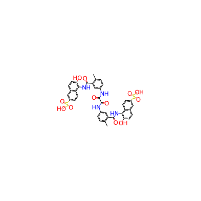 Cc1ccc(NC(=O)C(=O)Nc2ccc(C)c(C(=O)Nc3c(O)ccc4cc(S(=O)(=O)O)ccc34)c2)cc1C(=O)Nc1c(O)ccc2cc(S(=O)(=O)O)ccc12